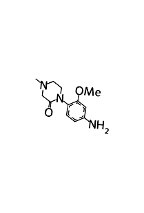 COc1cc(N)ccc1N1CCN(C)CC1=O